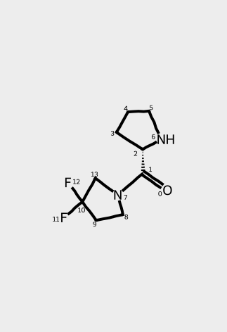 O=C([C@@H]1CCCN1)N1CCC(F)(F)C1